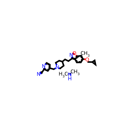 CNC.Cc1c(OCC2CC2)ccc2c(CCC3CCN(Cc4ccnc(C#N)c4)CC3)noc12